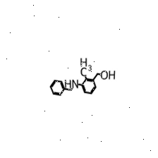 Cc1c(CO)cccc1NCc1ccccc1